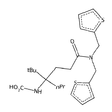 CCCC(CCC(=O)N(Cc1cccs1)Cc1cccs1)(NC(=O)O)C(C)(C)C